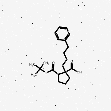 CC(C)(C)OC(=O)C1CCCC1(CCCCc1ccccc1)C(=O)O